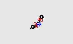 Cc1ccc(S(=O)(=O)n2cc(C3Oc4ccccc4O3)nn2)cc1